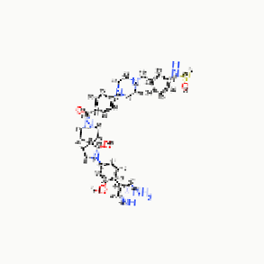 COc1cc(N2CCC3(CCN(C(=O)c4ccc(N5CCN(Cc6cccc(N[S+](C)[O-])c6)CC5)cc4)CC3)C2=O)ccc1/C(C=N)=C/N